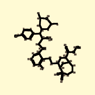 CC1CC([C@H](c2ccc(Cl)cc2)[C@@H](N)CNc2cncc(F)c2CCC2CN(C(=O)OC(C)(C)C)C3CCCS(=O)(=O)N2C3)CC(C)O1